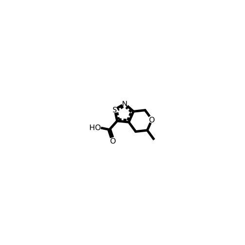 CC1Cc2c(nsc2C(=O)O)CO1